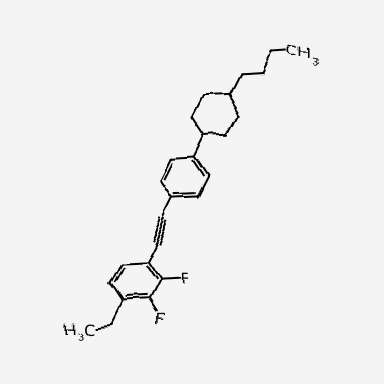 CCCCC1CCC(c2ccc(C#Cc3ccc(CC)c(F)c3F)cc2)CC1